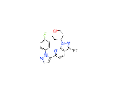 CCc1nn(C2CCOCC2)c2nc(-c3ccnn3-c3ccc(F)cc3)ccc12